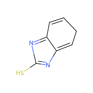 SC1=NC2=CCC=CC2=N1